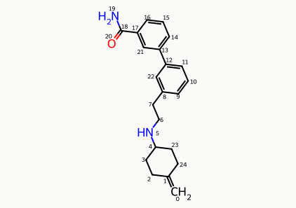 C=C1CCC(NCCc2cccc(-c3cccc(C(N)=O)c3)c2)CC1